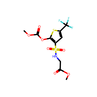 COC(=O)CNS(=O)(=O)c1cc(C(F)(F)F)sc1OC(=O)OC